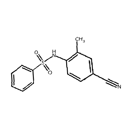 Cc1cc(C#N)ccc1NS(=O)(=O)c1ccccc1